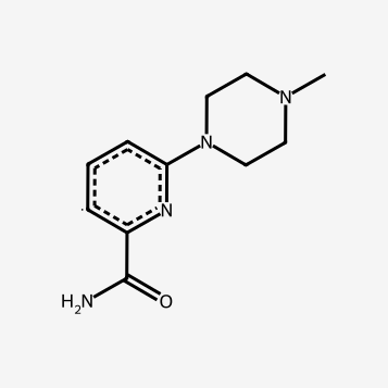 CN1CCN(c2cc[c]c(C(N)=O)n2)CC1